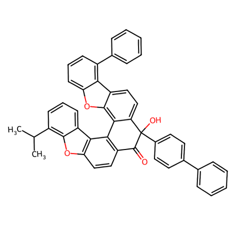 CC(C)c1cccc2c1oc1ccc3c(c12)-c1c(ccc2c1oc1cccc(-c4ccccc4)c12)C(O)(c1ccc(-c2ccccc2)cc1)C3=O